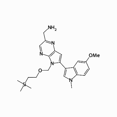 COc1ccc2c(c1)c(-c1cc3nc(CN)cnc3n1COCC[Si](C)(C)C)cn2C